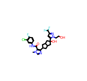 Cn1cnc(C2CC3CC(O)(c4cc(C(F)F)nn4CCO)CC3C2)c1C(=O)Nc1ccc(F)c(Cl)c1